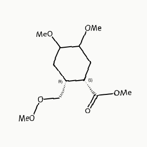 COOC[C@@H]1CC(OC)C(OC)C[C@@H]1C(=O)OC